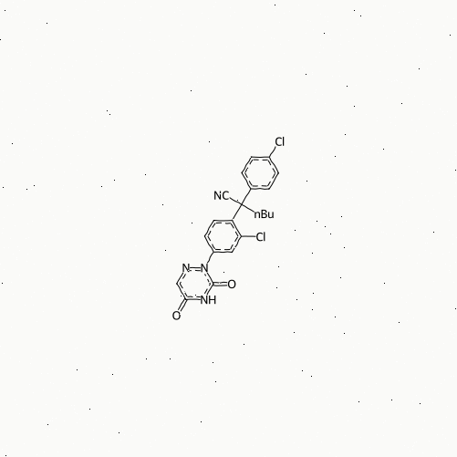 CCCCC(C#N)(c1ccc(Cl)cc1)c1ccc(-n2ncc(=O)[nH]c2=O)cc1Cl